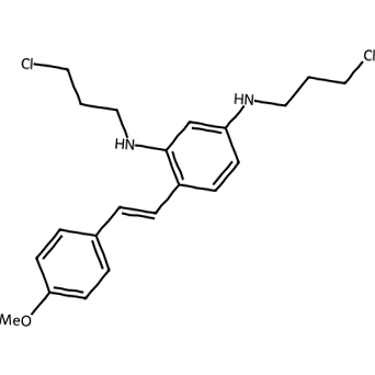 COc1ccc(C=Cc2ccc(NCCCCl)cc2NCCCCl)cc1